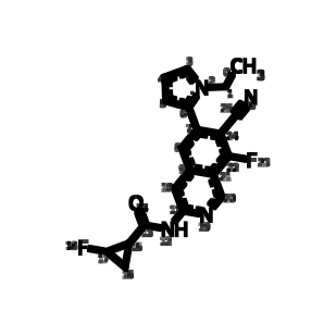 CCn1cccc1-c1cc2cc(NC(=O)C3CC3F)ncc2c(F)c1C#N